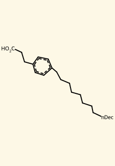 CCCCCCCCCCCCCCCCCCc1ccc(CCC(=O)O)cc1